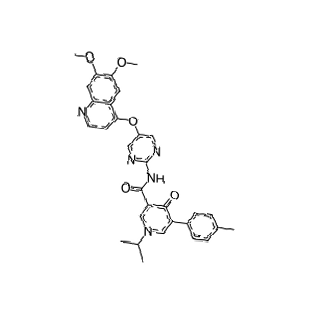 COc1cc2nccc(Oc3cnc(NC(=O)c4cn(C(C)C)cc(-c5ccc(C)cc5)c4=O)nc3)c2cc1OC